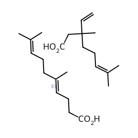 C=CC(C)(CCC=C(C)C)CC(=O)O.CC(C)=CCC/C(C)=C/CCC(=O)O